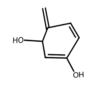 C=C1C=CC(O)=CC1O